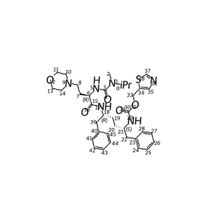 CC(C)N(C)C(=O)N[C@H](CCN1CCOCC1)C(=O)N[C@H](CC[C@@H](Cc1ccccc1)NC(=O)OCc1cncs1)Cc1ccccc1